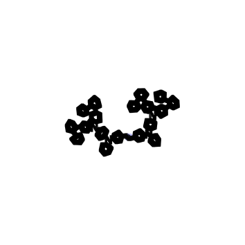 C1=CC2C(C=C1c1ccccc1-c1ccccc1)c1cc(-c3ccccc3-c3ccccc3)ccc1N2c1ccc(N(c2ccccc2)c2ccc(/C=C/c3ccc(N(c4ccccc4)c4ccc(-n5c6ccc(-c7ccccc7-c7ccccc7)cc6c6cc(-c7ccccc7-c7ccccc7)ccc65)cc4)cc3)cc2)cc1